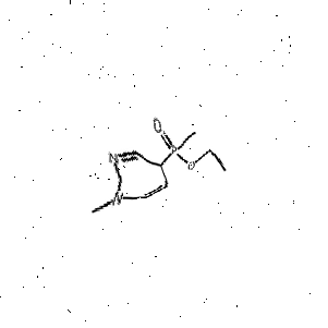 CCOP(C)(=O)C1C=CN(C)N=C1